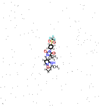 C[C@H](Nc1cc(CN2C(=O)N(c3ccc(S(=O)(=O)C(F)(F)F)cc3)C(=O)C2(C)C)ccn1)[C@H]1CCCO1